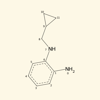 Nc1ccccc1NCC1CC1